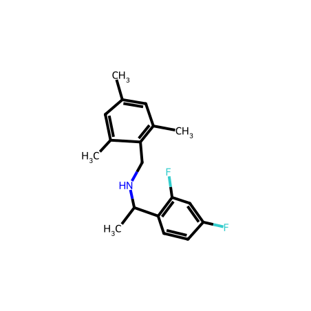 Cc1cc(C)c(CNC(C)c2ccc(F)cc2F)c(C)c1